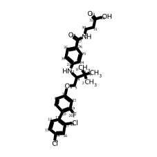 CC(C)(C)C(COc1ccc(-c2ccc(Cl)cc2Cl)c(F)c1)Nc1ccc(C(=O)NCCC(=O)O)cc1